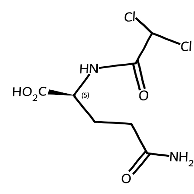 NC(=O)CC[C@H](NC(=O)C(Cl)Cl)C(=O)O